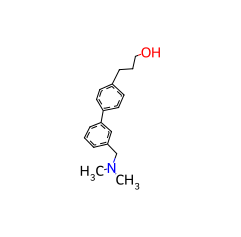 CN(C)Cc1cccc(-c2ccc(CCCO)cc2)c1